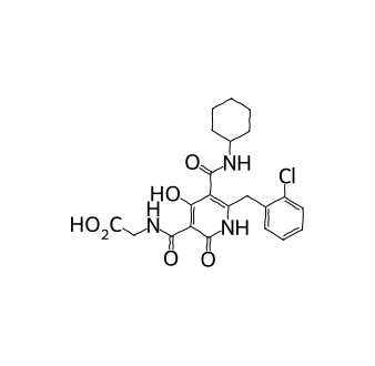 O=C(O)CNC(=O)c1c(O)c(C(=O)NC2CCCCC2)c(Cc2ccccc2Cl)[nH]c1=O